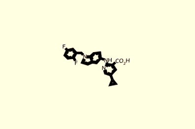 O=C(O)c1cc(C2CC2)cnc1Nc1ccc2c(ccn2Cc2cc(F)ccc2F)c1